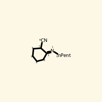 CCCCC/N=C1\CCCCC1C#N